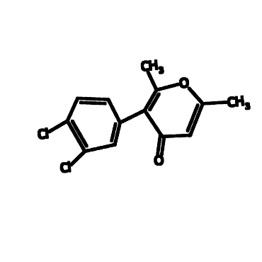 Cc1cc(=O)c(-c2ccc(Cl)c(Cl)c2)c(C)o1